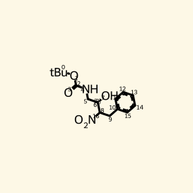 CC(C)(C)OC(=O)NC[C@@H](O)C(Cc1ccccc1)[N+](=O)[O-]